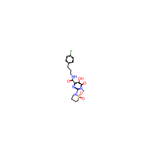 Cn1c(N2CCCCS2(=O)=O)nc(C(=O)NCCCc2ccc(F)cc2)c(O)c1=O